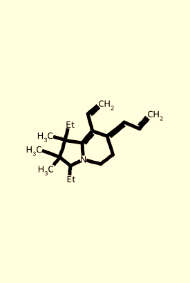 C=C/C=C1\CCN2C(=C1C=C)C(C)(CC)C(C)(C)C2CC